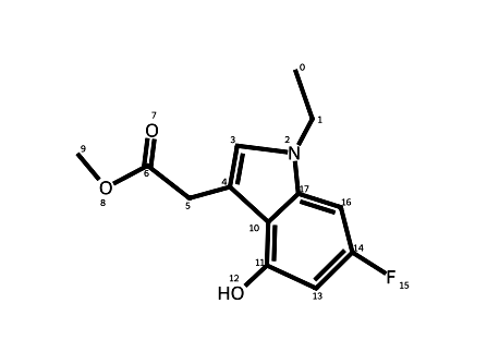 CCn1cc(CC(=O)OC)c2c(O)cc(F)cc21